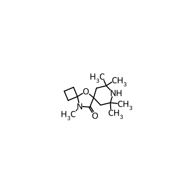 CN1C(=O)C2(CC(C)(C)NC(C)(C)C2)OC12CCC2